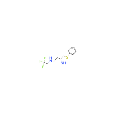 [NH][C@H](CCNCC(F)(F)F)CSc1ccccc1